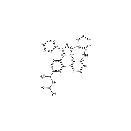 CC(NC(=O)O)c1ccc(-c2c(-c3ccccc3)nc3n2-c2cccnc2Nc2ccccc2-3)cc1